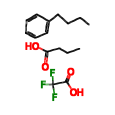 CCCC(=O)O.CCCCc1ccccc1.O=C(O)C(F)(F)F